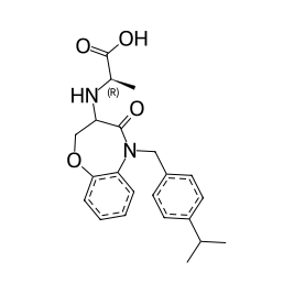 CC(C)c1ccc(CN2C(=O)C(N[C@H](C)C(=O)O)COc3ccccc32)cc1